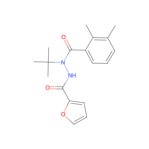 Cc1cccc(C(=O)N(NC(=O)c2ccco2)C(C)(C)C)c1C